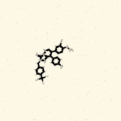 COc1ccc(-c2cnn3c(=O)n(Cc4ccc(C(F)(F)F)cc4)nc3c2-c2ccc(Cl)cc2)cc1F